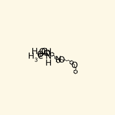 CCC(CC)(CC(=O)Nc1cccc(C=Cc2cccc(OCCCCc3ccc(OCCc4ccccc4)cc3)n2)c1)C(=O)O